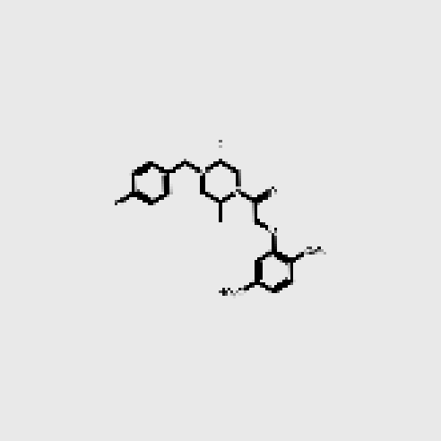 COc1ccc(C(=O)O)cc1OCC(=O)N1C[C@@H](C)N(Cc2ccc(F)cc2)C[C@@H]1C